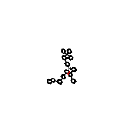 c1ccc(-c2cccc(-c3ccccc3N(c3ccc(-c4ccc(-c5cccc(-c6ccc7ccccc7c6)c5)cc4)cc3)c3ccc(-c4cccc5c4-c4ccccc4C5(c4ccccc4)c4ccccc4)cc3)c2)cc1